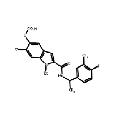 CCn1c(C(=O)NC(c2ccc(F)c(C(F)(F)F)c2)C(F)(F)F)cc2cc(OC(=O)O)c(Cl)cc21